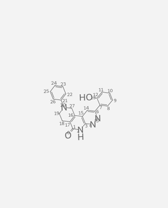 O=c1[nH]c2nnc(-c3ccccc3O)cc2c2c1CCN(c1ccccc1)C2